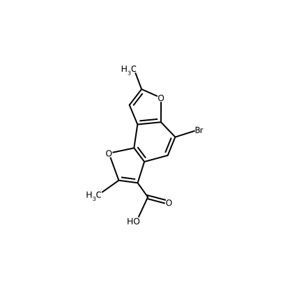 Cc1cc2c(o1)c(Br)cc1c(C(=O)O)c(C)oc12